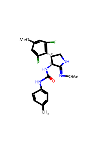 CON=C1NC[C@@H](c2c(F)cc(OC)cc2F)[C@@H]1NC(=O)Nc1ccc(C)cc1